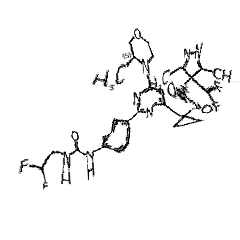 CC1=NN=C(C)C1(C(F)F)S(=O)(=O)C1(c2cc(N3CCOC[C@@H]3C)nc(-c3ccc(NC(=O)NCC(F)F)cc3)n2)CC1